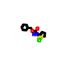 O=C(NC1=CC=C[SH]1Cl)OCc1ccccc1